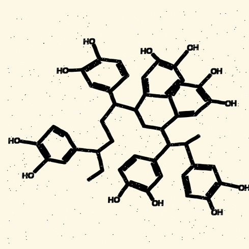 CCC(CCC(c1ccc(O)c(O)c1)C(CC(c1ccc(O)c(O)c1)C(c1ccc(O)c(O)c1)C(C)c1ccc(O)c(O)c1)c1ccc(O)c(O)c1)c1ccc(O)c(O)c1